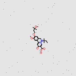 CCC(C)(C)N1Cc2cc(OCCC(C)(C)OC)c(OC)cc2-c2cc(=O)c(C(=O)O)cn21